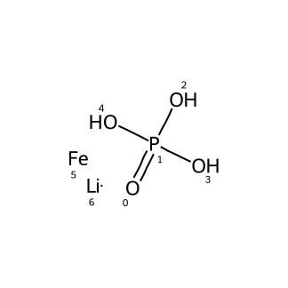 O=P(O)(O)O.[Fe].[Li]